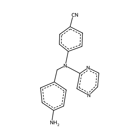 N#Cc1ccc(N(Cc2ccc(N)cc2)c2cnccn2)cc1